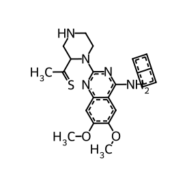 COc1cc2nc(N3CCNCC3C(C)=S)nc(N)c2cc1OC.c1cc2ccc1-2